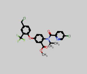 COC(=O)c1cc(Oc2ccc(CCl)cc2C(F)(F)F)ccc1N(C(=O)c1ccc(Cl)cn1)C(C)C